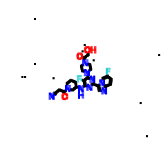 N#CCC(=O)N1CCCC(Nc2nc(-c3cnc4ccc(F)cn34)nc(N3CCN(C(=O)CO)CC3)c2F)C1